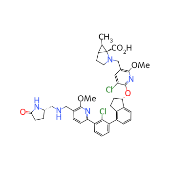 COc1nc(-c2cccc(-c3cccc4c3CC[C@@H]4Oc3nc(OC)c(CN4CCC5C(C)[C@@]54C(=O)O)cc3Cl)c2Cl)ccc1CNC[C@@H]1CCC(=O)N1